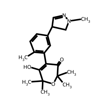 Cc1ccc(C2C=NN(C)C2)cc1C1=C(O)C(C)(C)OC(C)(C)C1=O